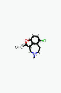 CN1CCc2c(Cl)ccc3oc(C=O)c(c23)C1